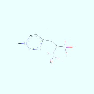 C[n+]1ccc(CC(P(=O)(O)O)P(=O)(O)O)nc1.[Cl-]